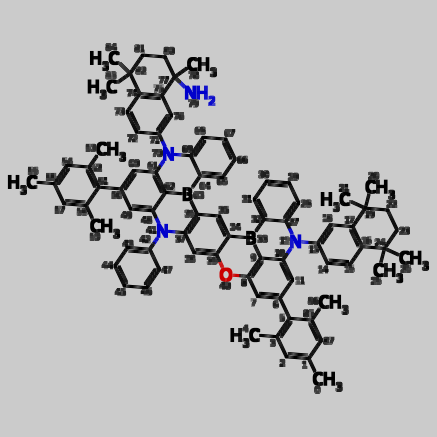 Cc1cc(C)c(-c2cc3c4c(c2)N(c2ccc5c(c2)C(C)(C)CCC5(C)C)c2ccccc2B4c2cc4c(cc2O3)N(c2ccccc2)c2cc(-c3c(C)cc(C)cc3C)cc3c2B4c2ccccc2N3c2ccc3c(c2)C(C)(N)CCC3(C)C)c(C)c1